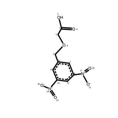 O=C(O)COCc1cc([N+](=O)[O-])cc([N+](=O)[O-])c1